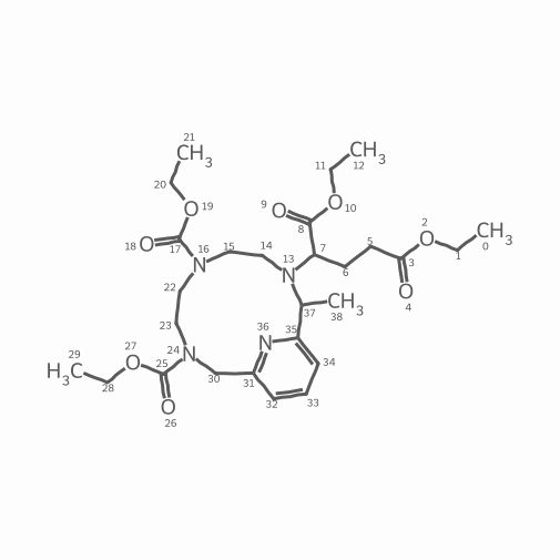 CCOC(=O)CCC(C(=O)OCC)N1CCN(C(=O)OCC)CCN(C(=O)OCC)Cc2cccc(n2)C1C